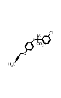 CC#CCOc1ccc(SC(CC)(C(=O)O)c2cccc(Cl)c2)cc1